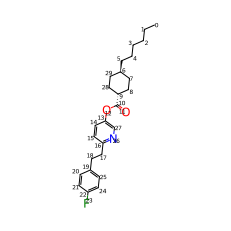 CCCCCC[C@H]1CC[C@H](C(=O)Oc2ccc(CCc3ccc(F)cc3)nc2)CC1